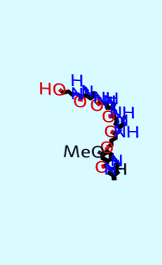 C=C1C[C@H]2C=Nc3cc(OCCCC(=O)Nc4cc(C(=O)Nc5cc(C(=O)Nc6cc(C(=O)NCCCO)n(C)c6)n(C)c5)n(C)c4)c(OC)cc3C(=O)N2C1